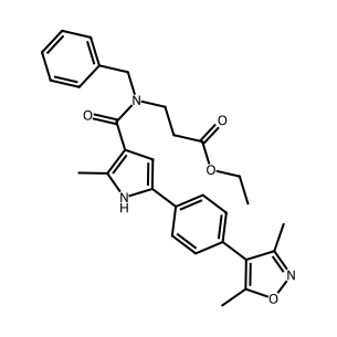 CCOC(=O)CCN(Cc1ccccc1)C(=O)c1cc(-c2ccc(-c3c(C)noc3C)cc2)[nH]c1C